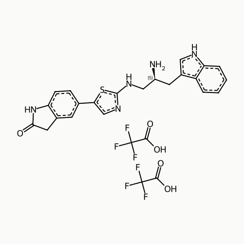 N[C@H](CNc1ncc(-c2ccc3c(c2)CC(=O)N3)s1)Cc1c[nH]c2ccccc12.O=C(O)C(F)(F)F.O=C(O)C(F)(F)F